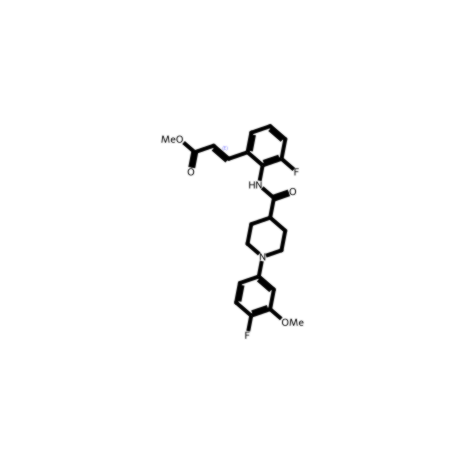 COC(=O)/C=C/c1cccc(F)c1NC(=O)C1CCN(c2ccc(F)c(OC)c2)CC1